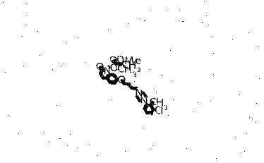 COC(C)(C)C(=O)OCn1c(=O)ccc2ccc(OCCCCN3CCN(c4cccc(Cl)c4C)CC3)cc21